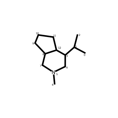 CC(C)C1CN(C)CC2CCCC21